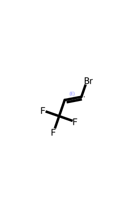 FC(F)(F)/C=[C]/Br